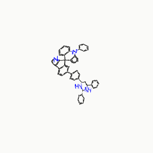 C1=C(c2ccccc2)NC(c2ccccc2)NC1c1ccc(-c2ccc3c(c2)C2(c4ccccc4N(c4ccccc4)c4ccccc42)c2ncccc2-3)cc1